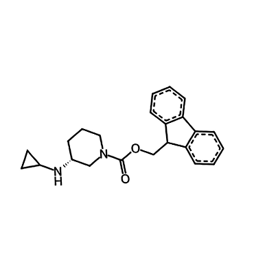 O=C(OCC1c2ccccc2-c2ccccc21)N1CCC[C@@H](NC2CC2)C1